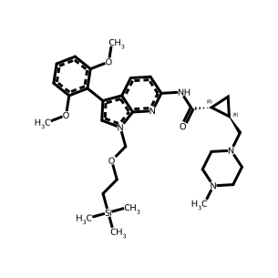 COc1cccc(OC)c1-c1cn(COCC[Si](C)(C)C)c2nc(NC(=O)[C@@H]3C[C@H]3CN3CCN(C)CC3)ccc12